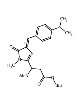 CNC(CC(=O)OC(C)(C)C)C1=N/C(=C\c2ccc(N(C)C)cc2)C(=O)N1C